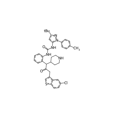 Cc1ccc(-n2nc(C(C)(C)C)cc2NC(=O)Nc2ccccc2C(C(=O)Cc2csc3ccc(Cl)cc23)C2CCNCC2)cc1